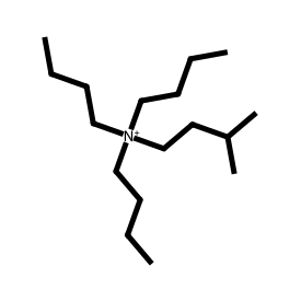 CCCC[N+](CCCC)(CCCC)CCC(C)C